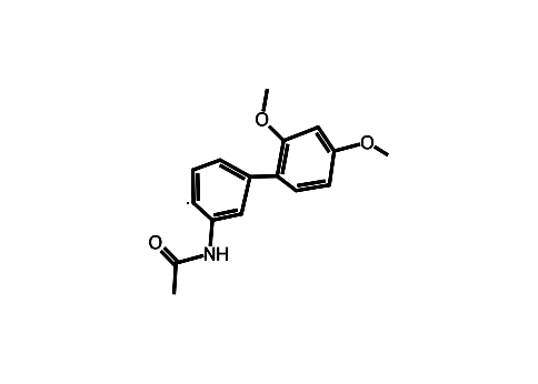 COc1ccc(-c2cc[c]c(NC(C)=O)c2)c(OC)c1